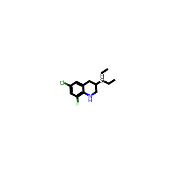 CC[SiH](CC)C1CNc2c(F)cc(Cl)cc2C1